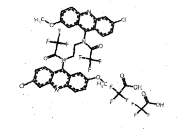 COc1ccc2nc3cc(Cl)ccc3c(N(CCN(C(=O)C(F)(F)F)c3c4ccc(Cl)cc4nc4ccc(OC)cc34)C(=O)C(F)(F)F)c2c1.O=C(O)C(F)(F)F.O=C(O)C(F)(F)F